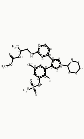 COC(=O)N[C@@H](C)CNc1nccc(-c2cn(C3CCCCO3)nc2-c2cc(Cl)cc(NS(C)(=O)=O)c2F)n1